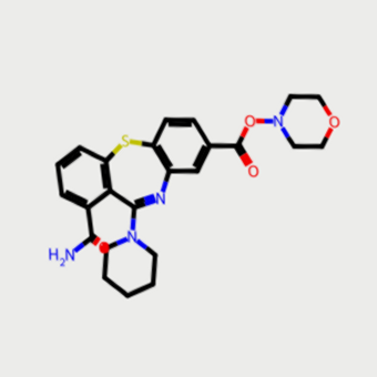 NC(=O)c1cccc2c1C(N1CCCCC1)=Nc1cc(C(=O)ON3CCOCC3)ccc1S2